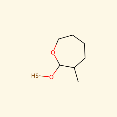 CC1CCCCOC1OS